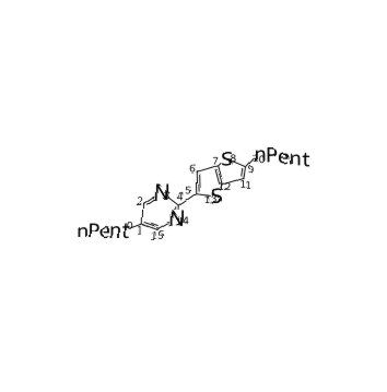 CCCCCc1cnc(-c2cc3sc(CCCCC)cc3s2)nc1